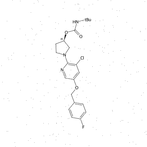 CC(C)(C)NC(=O)O[C@@H]1CCN(c2ncc(OCc3ccc(F)cc3)cc2Cl)C1